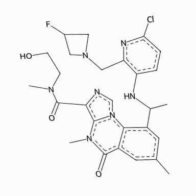 Cc1cc(C(C)Nc2ccc(Cl)nc2CN2CC(F)C2)c2c(c1)c(=O)n(C)c1c(C(=O)N(C)CCO)ncn21